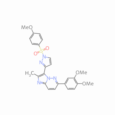 COc1ccc(S(=O)(=O)n2ccc(-c3c(C)nc4ccc(-c5ccc(OC)c(OC)c5)nn34)n2)cc1